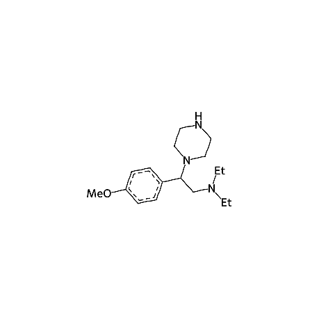 CCN(CC)CC(c1ccc(OC)cc1)N1CCNCC1